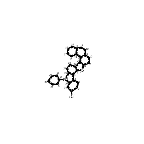 Clc1ccc2c3c4sc5ccc6ccc7ccccc7c6c5c4ccc3n(-c3ccccc3)c2c1